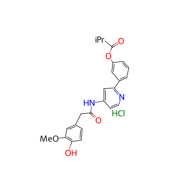 COc1cc(CC(=O)Nc2ccnc(-c3cccc(OC(=O)C(C)C)c3)c2)ccc1O.Cl